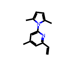 C=Cc1cc(C)cc(-n2c(C)ccc2C)n1